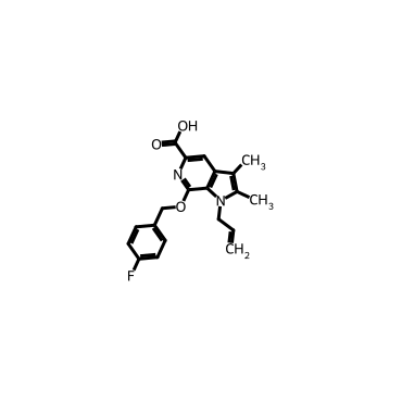 C=CCn1c(C)c(C)c2cc(C(=O)O)nc(OCc3ccc(F)cc3)c21